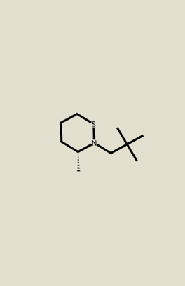 C[C@@H]1CCCSN1CC(C)(C)C